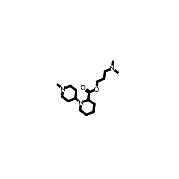 CN(C)CCCOC(=O)C1CCCCN1C1CCN(C)CC1